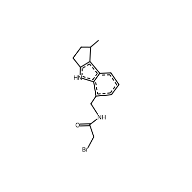 CC1CCc2[nH]c3c(CNC(=O)CBr)cccc3c21